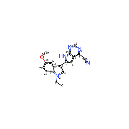 CCn1cc(-c2cc3c(C#N)ncnc3[nH]2)c2cc(OC)ccc21